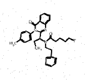 CCC(c1nc2ccccc2c(=O)n1-c1ccc(C)cc1)N(CCc1ccccc1)C(=O)CCCCF